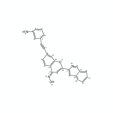 Nc1cccc(C#Cc2ccc3/c(=N/O)cc(-c4cc5ccccc5cn4)oc3c2)c1